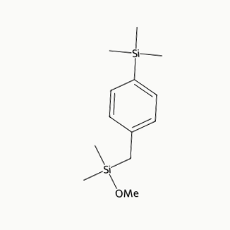 CO[Si](C)(C)Cc1ccc([Si](C)(C)C)cc1